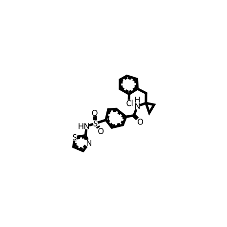 O=C(NC1(Cc2ccccc2Cl)CC1)c1ccc(S(=O)(=O)Nc2nccs2)cc1